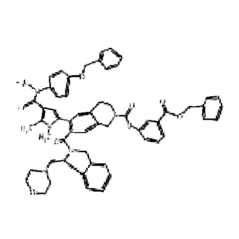 Cc1c(C(=O)N(C)c2ccc(OCc3ccccc3)cc2)cc(-c2cc3c(cc2C(=O)N2Cc4ccccc4C[C@H]2CN2CCOCC2)CN(C(=O)Oc2cccc(C(=O)OCc4ccccc4)c2)CC3)n1C